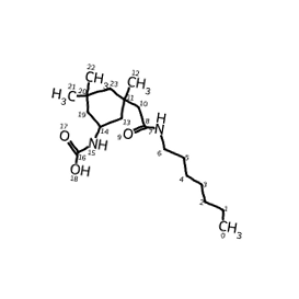 CCCCCCCNC(=O)CC1(C)CC(NC(=O)O)CC(C)(C)C1